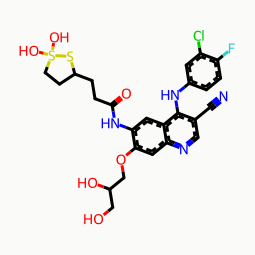 N#Cc1cnc2cc(OCC(O)CO)c(NC(=O)CCC3CCS(O)(O)S3)cc2c1Nc1ccc(F)c(Cl)c1